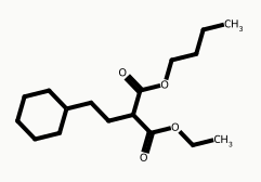 CCCCOC(=O)C(CCC1CCCCC1)C(=O)OCC